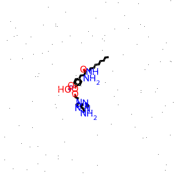 CCCCCCCCNC(=O)[C@@H](N)Cc1ccc(OP(=O)(O)COCCn2cnc3c(N)ncnc32)cc1